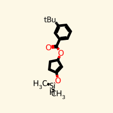 C[SiH](C)OC1=CC(OC(=O)c2cccc(C(C)(C)C)c2)CC1